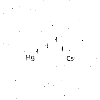 [Cs].[Hg].[I].[I].[I].[I]